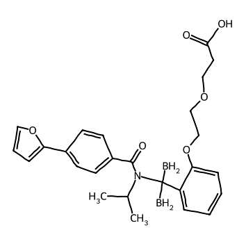 BC(B)(c1ccccc1OCCOCCC(=O)O)N(C(=O)c1ccc(-c2ccco2)cc1)C(C)C